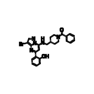 O=C(c1ccccc1)N1CCC(CNc2cc(-c3ccccc3O)nc3c(Br)cnn23)CC1